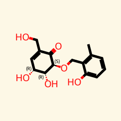 Cc1cccc(O)c1CO[C@@H]1C(=O)C(CO)=C[C@@H](O)[C@H]1O